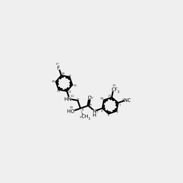 [C-]#[N+]c1ccc(NC(=O)[C@@](C)(O)CNc2ccc(F)cc2)cc1C(F)(F)F